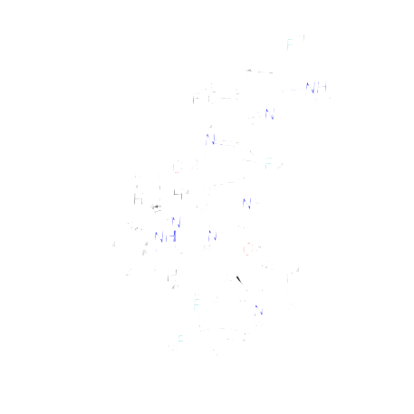 C[C@@H]1Oc2nc(-c3nc(N)c(F)cc3C(F)(F)F)c(F)c3nc(OC[C@@]45CCCN4CC4(CC4(F)F)C5)nc(c23)N2C[C@H]3CC[C@H](N3)[C@@H]12